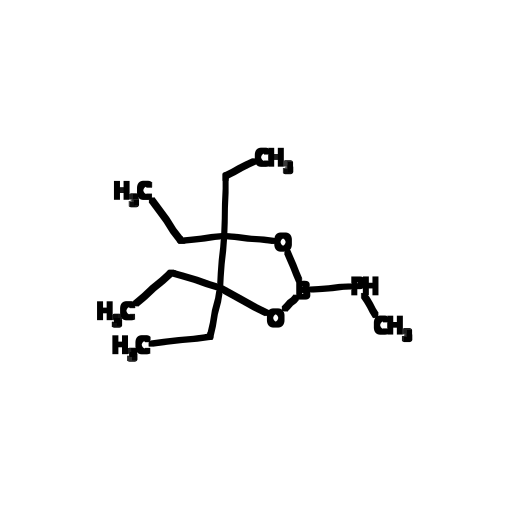 CCC1(CC)OB(PC)OC1(CC)CC